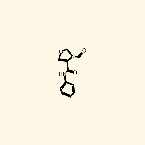 O=CN1COC=C1C(=O)Nc1ccccc1